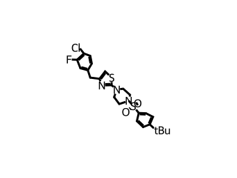 CC(C)(C)c1ccc(S(=O)(=O)N2CCN(c3nc(Cc4ccc(Cl)c(F)c4)cs3)CC2)cc1